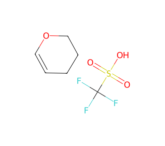 C1=COCCC1.O=S(=O)(O)C(F)(F)F